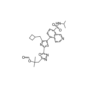 CC(C)NS(=O)(=O)c1ccc(-c2sc(-c3nnc(CC(C)(C)OC=O)o3)nc2CC2CCC2)c2ccncc12